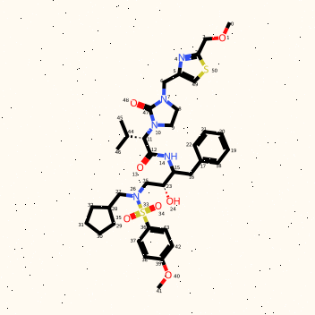 COCc1nc(CN2CCN([C@H](C(=O)NC(Cc3ccccc3)[C@H](O)CN(CC3CCCC3)S(=O)(=O)c3ccc(OC)cc3)C(C)C)C2=O)cs1